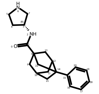 O=C(N[C@@H]1CCNC1)C12CC3CC(C1)C(c1ccccc1)(C3)C2